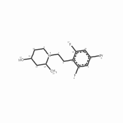 CC(C)c1cc(F)c(CCN2CCC(O)CC2C)c(F)c1